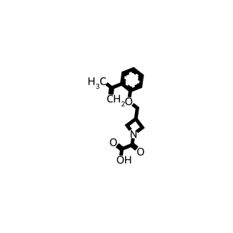 C=C(C)c1ccccc1OCC1CN(C(=O)C(=O)O)C1